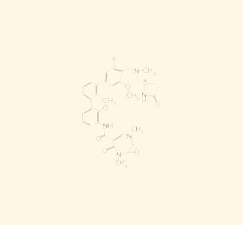 COc1cc(-c2cccc(-c3cccc(NC(=O)C4=CN(C)C5OC5N(C)C4=O)c3Cl)c2C)cc(F)c1CN(C)C[C@@H]1CCC(=O)N1